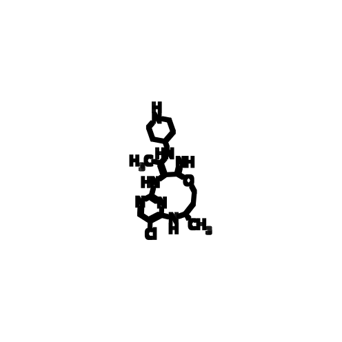 C/C(NC1CCNCC1)=C1\Nc2ncc(Cl)c(n2)N[C@H](C)CCOC1=N